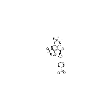 COc1c(S(C)(=O)=O)ccc(O[C@@H](C)C(F)(F)F)c1C(=O)N1CC(c2ccc([N+](=O)[O-])cc2)C1